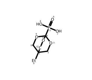 CCC12COC(P(=O)(O)O)(OC1)OC2